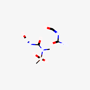 CN(C(=O)N=C=O)S(C)(=O)=O.NC(=O)N=C=O